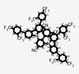 N#Cc1cc(-c2c(-n3c4ccc(-c5ccc(C(F)(F)F)cc5C(F)(F)F)cc4c4cc(-c5ccc(C(F)(F)F)cc5C(F)(F)F)ccc43)cc(C#N)cc2-n2c3ccc(-c4ccc(C(F)(F)F)cc4C(F)(F)F)cc3c3cc(-c4ccc(C(F)(F)F)cc4C(F)(F)F)ccc32)cc(C(F)(F)F)c1